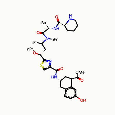 CCCO[C@H](CC(C(C)C)N(CCC)C(=O)[C@@H](NC(=O)[C@H]1CCCCN1)[C@@H](C)CC)c1nc(C(=O)N[C@H]2Cc3ccc(O)cc3[C@H](C(=O)OC)C2)cs1